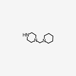 C1CCN(CN2CCNCC2)CC1